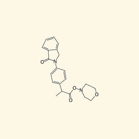 CC(C(=O)ON1CCOCC1)c1ccc(N2Cc3ccccc3C2=O)cc1